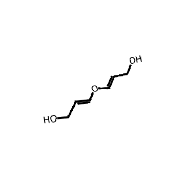 OCC=COC=CCO